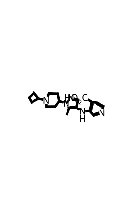 Cc1c(Nc2cnccc2C(=O)O)cnn1C1CCN(C2CCC2)CC1